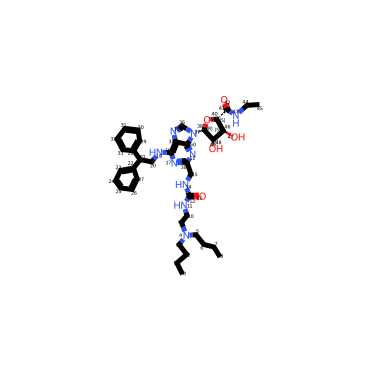 CCCCN(CCCC)CCNC(=O)NCc1nc(NCC(c2ccccc2)c2ccccc2)c2ncn([C@@H]3O[C@H](C(=O)NCC)[C@@H](O)[C@H]3O)c2n1